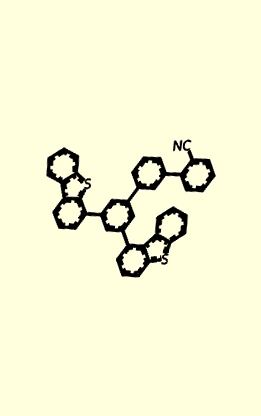 N#Cc1ccccc1-c1cccc(-c2cc(-c3cccc4c3sc3ccccc34)cc(-c3cccc4sc5ccccc5c34)c2)c1